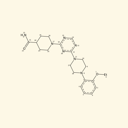 CCOc1ccccc1N1CCN(c2ncnc(N3CCC(C(N)=O)CC3)n2)CC1